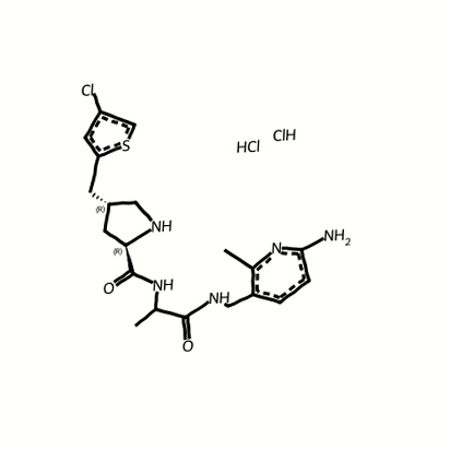 Cc1nc(N)ccc1CNC(=O)C(C)NC(=O)[C@H]1C[C@H](Cc2cc(Cl)cs2)CN1.Cl.Cl